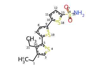 CCc1csc(-c2ccc(-c3ccc(S(N)(=O)=O)s3)s2)c1CC